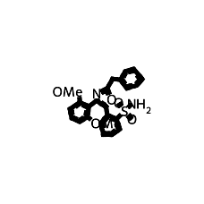 COc1cccc(OC)c1-c1nc(Cc2ccccc2)oc1-c1ccccc1S(N)(=O)=O